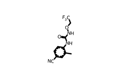 Cc1cc(C#N)ccc1NC(=O)NOCC(F)(F)F